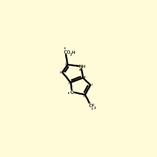 O=C(O)c1cc2oc(C(F)(F)F)cc2[nH]1